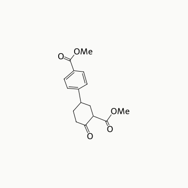 COC(=O)c1ccc(C2CCC(=O)C(C(=O)OC)C2)cc1